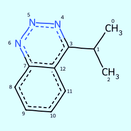 CC(C)c1nnnc2ccccc12